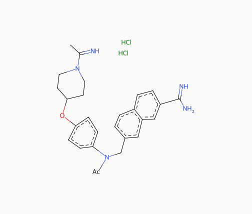 CC(=N)N1CCC(Oc2ccc(N(Cc3ccc4ccc(C(=N)N)cc4c3)C(C)=O)cc2)CC1.Cl.Cl